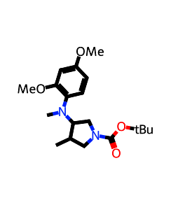 COc1ccc(N(C)C2CN(C(=O)OC(C)(C)C)CC2C)c(OC)c1